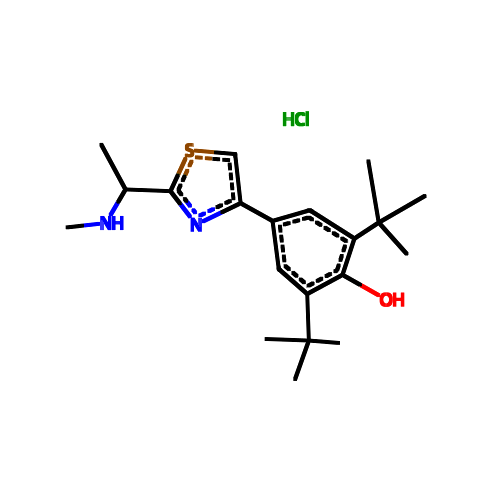 CNC(C)c1nc(-c2cc(C(C)(C)C)c(O)c(C(C)(C)C)c2)cs1.Cl